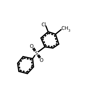 Cc1ccc(S(=O)(=O)c2ccccc2)cc1Cl